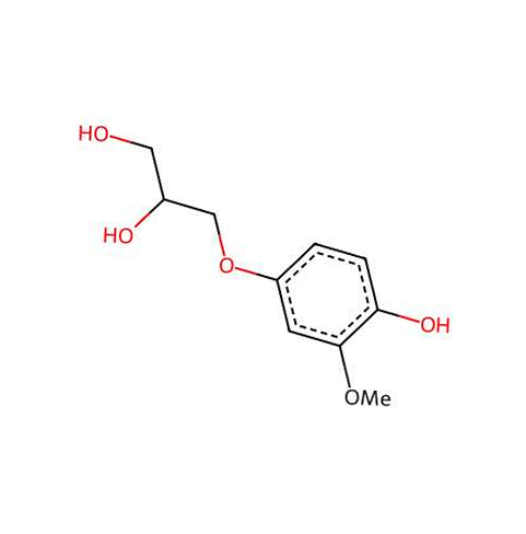 COc1cc(OCC(O)CO)ccc1O